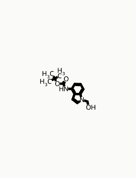 CC(C)(C)OC(=O)Nc1cccc2c1ccn2CO